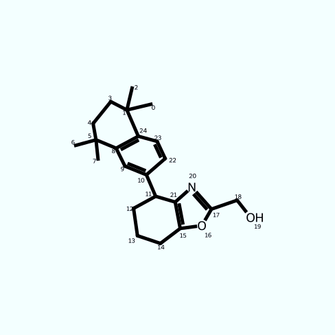 CC1(C)CCC(C)(C)c2cc(C3CCCc4oc(CO)nc43)ccc21